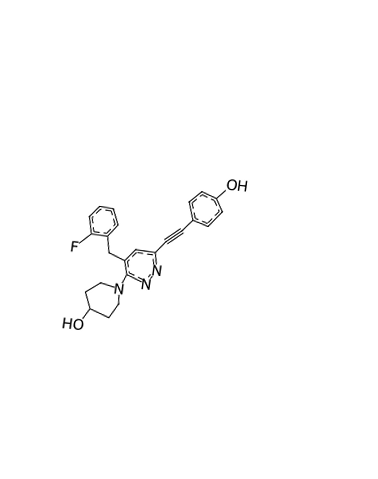 Oc1ccc(C#Cc2cc(Cc3ccccc3F)c(N3CCC(O)CC3)nn2)cc1